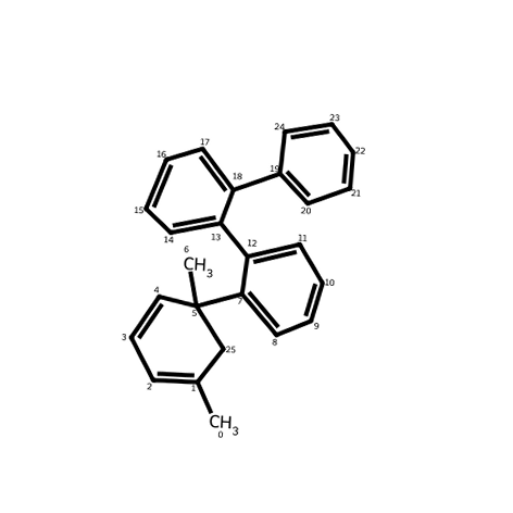 CC1=CC=CC(C)(c2ccccc2-c2ccccc2-c2ccccc2)C1